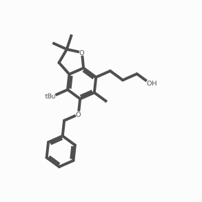 Cc1c(CCCO)c2c(c(C(C)(C)C)c1OCc1ccccc1)CC(C)(C)O2